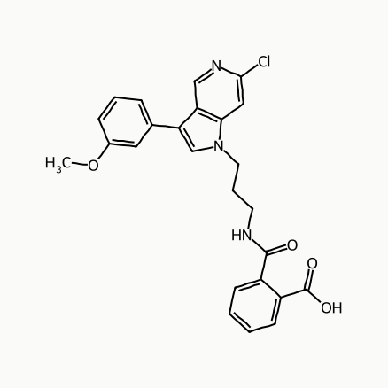 COc1cccc(-c2cn(CCCNC(=O)c3ccccc3C(=O)O)c3cc(Cl)ncc23)c1